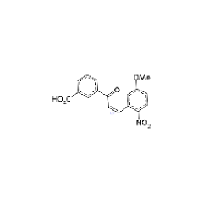 COc1ccc([N+](=O)[O-])c(/C=C\C(=O)c2cccc(C(=O)O)c2)c1